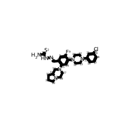 NC(=S)NN=Cc1cc(F)c(N2CCN(c3cccc(Cl)c3)CC2)cc1N1CCN2CCCC2C1